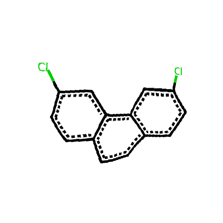 Clc1ccc2ccc3ccc(Cl)cc3c2c1